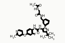 CC(=O)NCC(=O)NCc1cccc(-n2nc(C(C)(C)C)cc2NC(=O)Nc2ccc(Oc3ccnc(C)c3)cc2F)c1